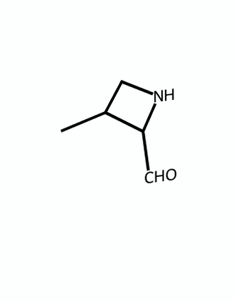 CC1CNC1C=O